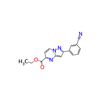 CCOC(=O)c1ccn2nc(-c3cccc(C#N)c3)cc2n1